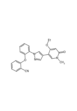 CCOc1cc(=O)n(C)cc1-c1cnn(-c2ccccc2Oc2ccccc2C#N)c1